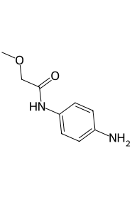 COCC(=O)Nc1ccc(N)cc1